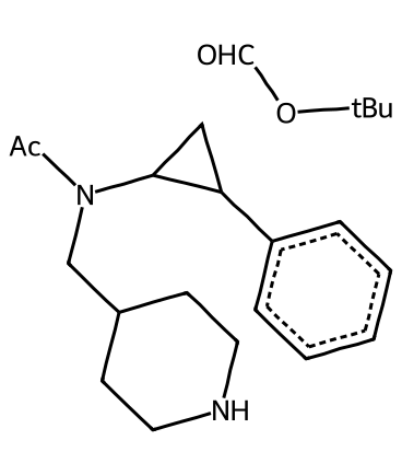 CC(=O)N(CC1CCNCC1)C1CC1c1ccccc1.CC(C)(C)OC=O